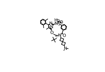 Cc1cccc(C)c1-c1nc2nc(c1C)OC[C@@H](CC(C)(C)C)N(C1CC3(CC(N(C)C)C3)C1)C(=O)c1cccc(c1)S(=O)(=O)N2